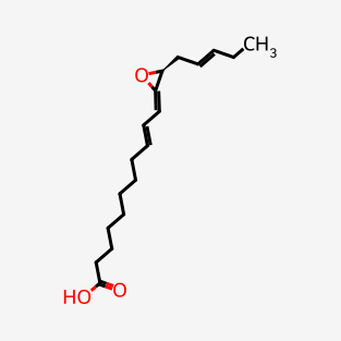 CCC=CC[C@@H]1OC1=CC=CCCCCCCCC(=O)O